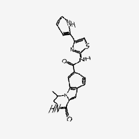 CC1CNC(=O)c2cc3ccc(C(=O)Nc4nc(-c5ccc[nH]5)cs4)cc3n21